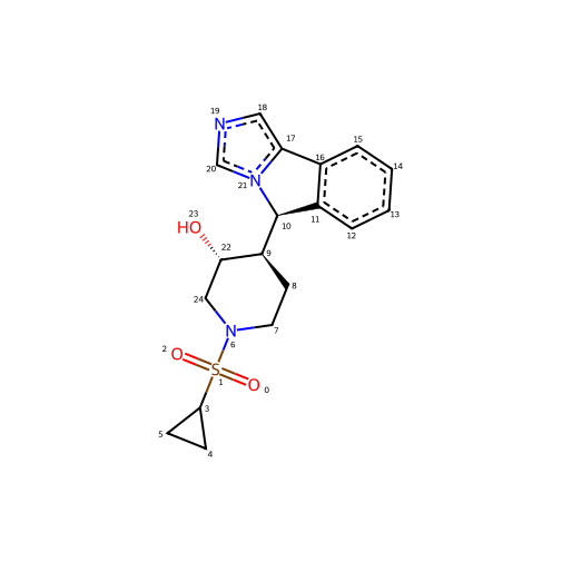 O=S(=O)(C1CC1)N1CC[C@H]([C@@H]2c3ccccc3-c3cncn32)[C@@H](O)C1